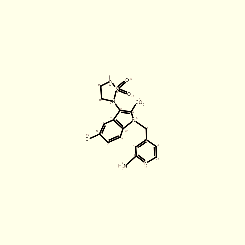 Nc1cc(Cn2c(C(=O)O)c(N3CCNS3(=O)=O)c3cc(Cl)ccc32)ccn1